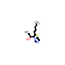 C#CC(O)c1c(/C=C/CCC)sc2cncn12